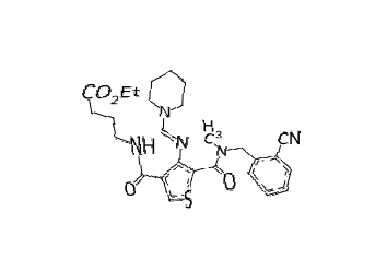 CCOC(=O)CCCNC(=O)c1csc(C(=O)N(C)Cc2ccccc2C#N)c1/N=C/N1CCCCC1